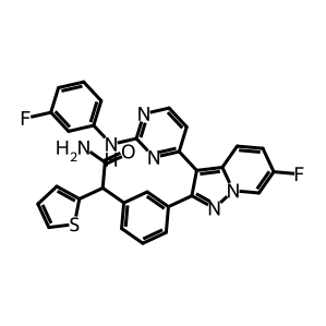 NC(=O)C(c1cccc(-c2nn3cc(F)ccc3c2-c2ccnc(Nc3cccc(F)c3)n2)c1)c1cccs1